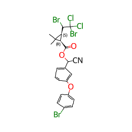 CC1(C)[C@H](C(=O)OC(C#N)c2cccc(Oc3ccc(Br)cc3)c2)[C@@H]1C(Br)C(Cl)(Cl)Br